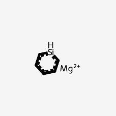 [Mg+2].c1cc[siH]cc1